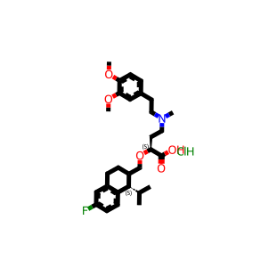 COc1ccc(CCN(C)CC[C@H](OCC2CCc3cc(F)ccc3[C@H]2C(C)C)C(=O)O)cc1OC.Cl